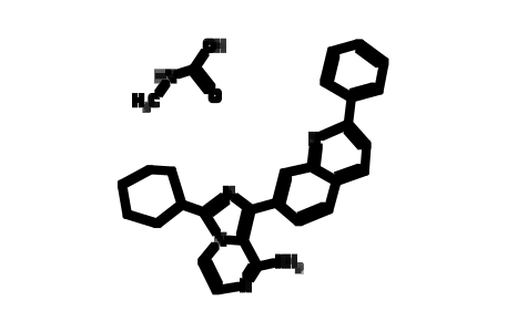 CNC(=O)O.Nc1nccn2c(C3CCCCC3)nc(-c3ccc4ccc(-c5ccccc5)nc4c3)c12